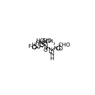 C/C(=C\C1=C(NC=O)C(C)(C)CN1C(=O)CN1CCNCC1CN1CCOC(C=O)C1)Cc1ccc(F)cc1